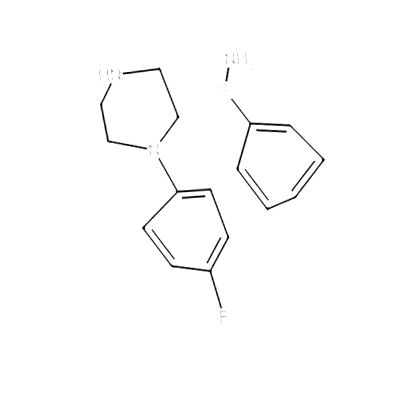 Fc1ccc(N2CCNCC2)cc1.NSc1ccccc1